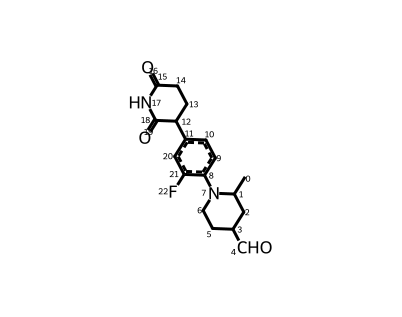 CC1CC(C=O)CCN1c1ccc(C2CCC(=O)NC2=O)cc1F